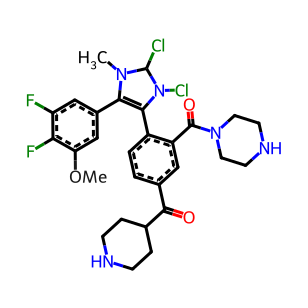 COc1cc(C2=C(c3ccc(C(=O)C4CCNCC4)cc3C(=O)N3CCNCC3)N(Cl)C(Cl)N2C)cc(F)c1F